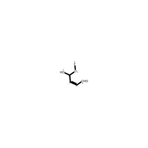 O=C/C=C\C(O)OF